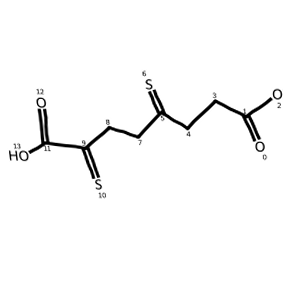 O=C(O)CCC(=S)CCC(=S)C(=O)O